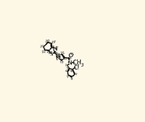 CN(Cc1ccccc1Cl)C(=O)c1cnn(-c2nc3ccccc3s2)c1